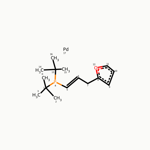 CC(C)(C)P(C=CCc1ccco1)C(C)(C)C.[Pd]